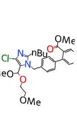 CCCCc1nc(Cl)c(C(OC)OCCOC)n1Cc1ccc(-c2ccccc2C(=O)OC)cc1